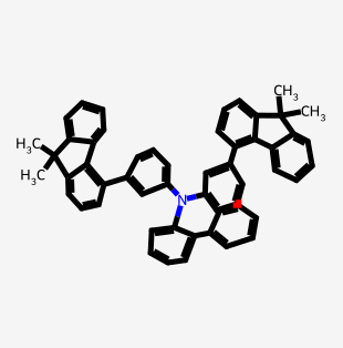 CC1(C)c2ccccc2-c2c(-c3cccc(N(c4cccc(-c5cccc6c5-c5ccccc5C6(C)C)c4)c4ccccc4-c4ccccc4)c3)cccc21